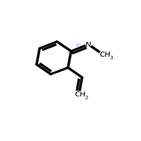 C=CC1C=CC=C/C1=N/C